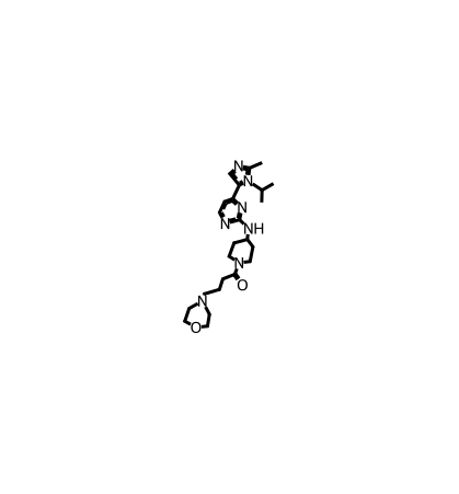 Cc1ncc(-c2ccnc(NC3CCN(C(=O)CCCN4CCOCC4)CC3)n2)n1C(C)C